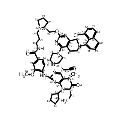 CC[C@@H]1C(=O)N(C)c2cnc(Nc3ccc(C(=O)NCCCN4CCC[C@H]4COc4nc5c(c(N6CCN[C@@H](CC#N)C6)n4)CCN(c4cccc6cccc(Cl)c46)C5)cc3OC)nc2N1C1CCCC1